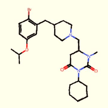 CC(C)Oc1ccc(Br)c(CC2CCN(CC3CC(=O)N(C4CCCCC4)C(=O)N3C)CC2)c1